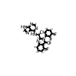 CC(Nc1ncnc2[nH]cnc12)c1nc2cccc(F)c2c(=O)n1-c1cccc(F)c1F